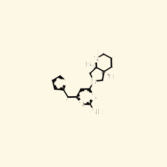 Nc1nc(Cc2cccs2)cc(N2C[C@@H]3CCCN[C@@H]3C2)n1